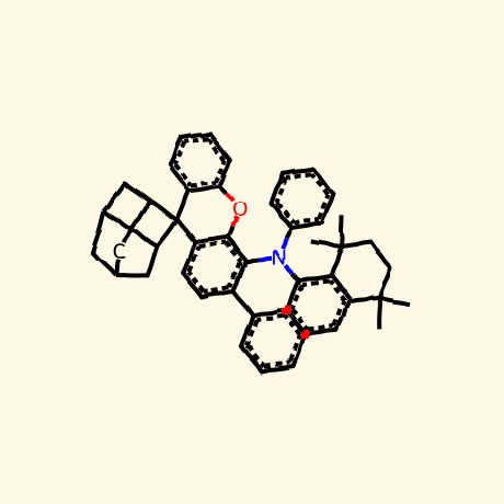 CC1(C)CCC(C)(C)c2c(N(c3ccccc3)c3c(-c4ccccc4)ccc4c3Oc3ccccc3C43C4CC5CC6CC3C64C5)cccc21